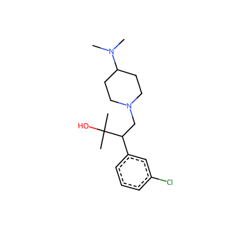 CN(C)C1CCN(CC(c2cccc(Cl)c2)C(C)(C)O)CC1